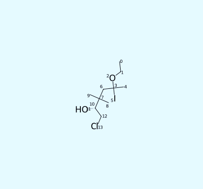 CCOC(C)(I)CC(C)(C)[C@@H](O)CCl